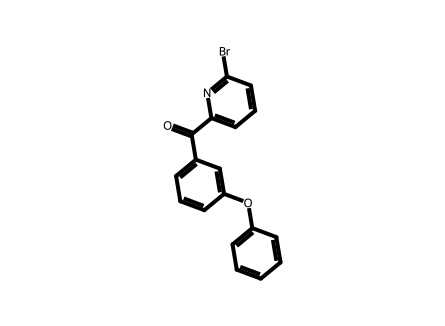 O=C(c1cccc(Oc2ccccc2)c1)c1cccc(Br)n1